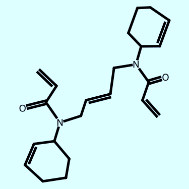 C=CC(=O)N(C/C=C/CN(C(=O)C=C)C1C=CCCC1)C1C=CCCC1